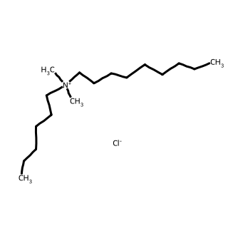 CCCCCCCCC[N+](C)(C)CCCCCC.[Cl-]